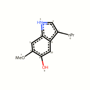 CCCc1c[nH]c2cc(OC)c(O)cc12